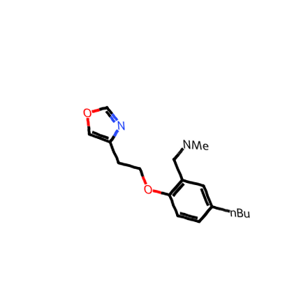 CCCCc1ccc(OCCc2cocn2)c(CNC)c1